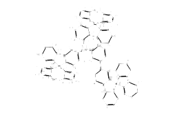 c1ccc(C2(c3ccccc3)c3ccccc3-c3ccc(-c4cccc(N(c5ccc6c(c5)-c5ccccc5C65c6ccccc6Oc6ccccc65)c5cccc6c5-c5ccccc5C65c6ccccc6Oc6ccccc65)c4)cc32)cc1